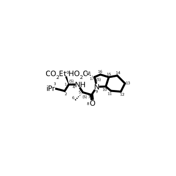 CCOC(=O)[C@H](CC(C)C)N[C@@H](C)C(=O)N1C2CCCCC2C[C@H]1C(=O)O